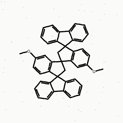 COc1ccc2c(c1)C1(CC23c2ccccc2-c2ccccc23)CC2(c3ccccc3-c3ccccc32)c2ccc(OC)cc21